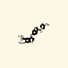 COc1cc2nccc(Oc3ccc4c(C(=O)N5CCC(O)C5)coc4c3)c2cc1C(N)=O